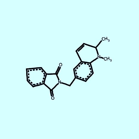 CC1C=Cc2cc(CN3C(=O)c4ccccc4C3=O)ccc2N1C